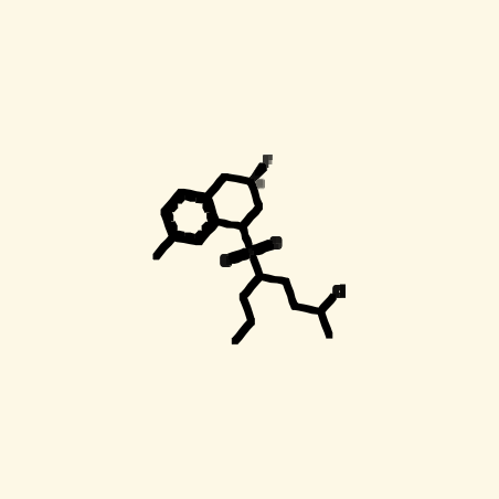 CCCC(CCC(C)Cl)S(=O)(=O)C1C[C@H](F)Cc2ccc(C)cc21